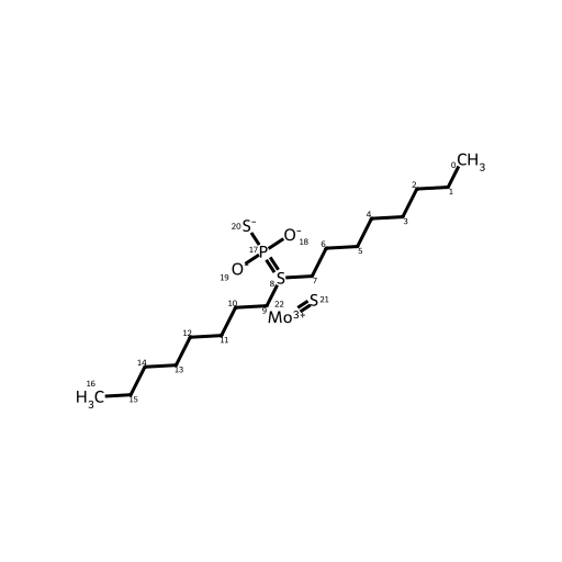 CCCCCCCCS(CCCCCCCC)=P([O-])([O-])[S-].[S]=[Mo+3]